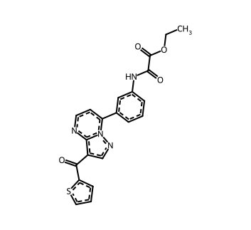 CCOC(=O)C(=O)Nc1cccc(-c2ccnc3c(C(=O)c4cccs4)cnn23)c1